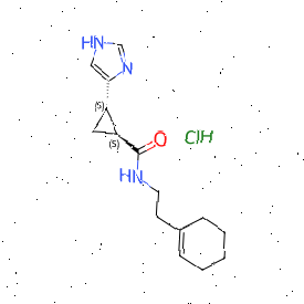 Cl.O=C(NCCC1=CCCCC1)[C@H]1C[C@@H]1c1c[nH]cn1